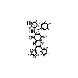 O=C1C=C(N[C@]2(Cc3ccccc3)CCNC2)C(=O)c2nc(-c3ccco3)c(-c3ccco3)nc21